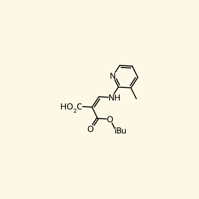 CCC(C)OC(=O)C(=CNc1ncccc1C)C(=O)O